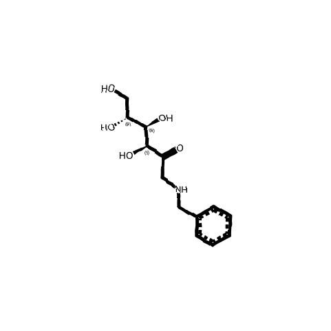 O=C(CNCc1ccccc1)[C@@H](O)[C@H](O)[C@H](O)CO